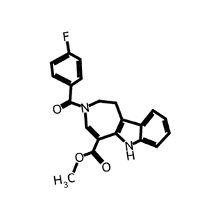 COC(=O)C1=CN(C(=O)c2ccc(F)cc2)CCc2c1[nH]c1ccccc21